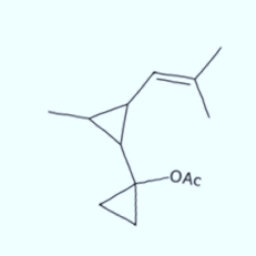 CC(=O)OC1(C2C(C)C2C=C(C)C)CC1